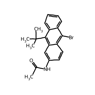 CC(=O)Nc1ccc2c(Br)c3ccccc3c(C(C)(C)C)c2c1